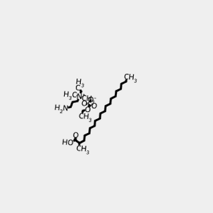 CCCCCCCCCCCCCCCCCCC(C)C(=O)O.CCOS(=O)(=O)[O-].CC[N+](C)(C)CCCN